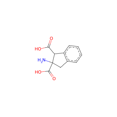 NC1(C(=O)O)Cc2ccccc2C1C(=O)O